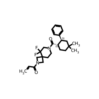 C=CC(=O)N1CC2(CCN(C(=O)[C@H]3CCC(C)(C)C[C@@H]3c3ccccc3)CC2(F)F)C1